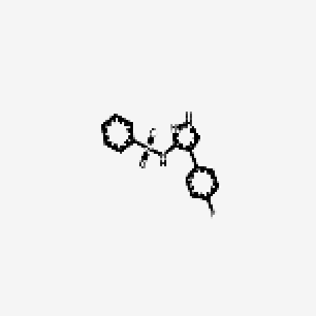 O=S(=O)(Nc1n[nH]cc1-c1ccc(F)cc1)c1ccccc1